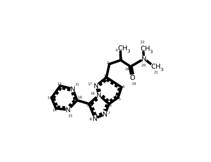 CC(Cc1ccc2nnc(-c3ncccn3)n2n1)C(=O)N(C)C